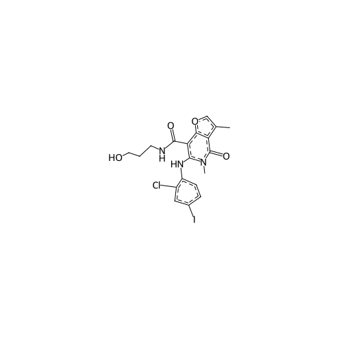 Cc1coc2c(C(=O)NCCCO)c(Nc3ccc(I)cc3Cl)n(C)c(=O)c12